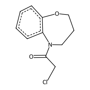 O=C(CCl)N1CCCOc2ccccc21